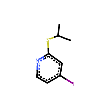 CC(C)Sc1cc(I)ccn1